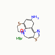 Br.NC1=CC2=C3C(=c4ncsc4=CC[N+]3([O-])CCS2)C1